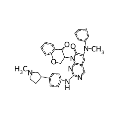 CN1CCC(c2ccc(Nc3ncc4cc(N(C)c5ccccc5)c(=O)n(C5COc6ccccc6C5=O)c4n3)cc2)C1